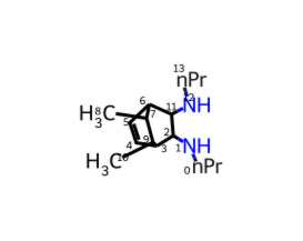 CCCNC1C2C=CC(C(C)C2C)C1NCCC